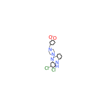 Clc1cc2c(cc1Cl)Nc1ccccc1C(N1CCN(Cc3ccc4c(c3)OCO4)CC1)=N2